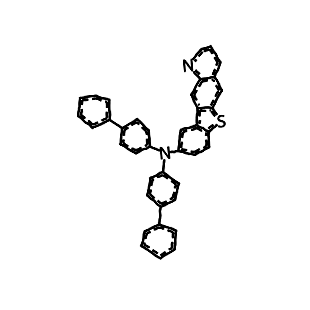 c1ccc(-c2ccc(N(c3ccc(-c4ccccc4)cc3)c3ccc4sc5cc6cccnc6cc5c4c3)cc2)cc1